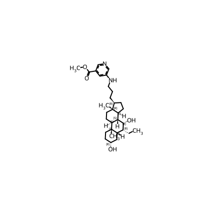 CC[C@H]1[C@@H](O)[C@@H]2[C@H](CC[C@]3(C)[C@@H](CCCNc4cncc(C(=O)OC)c4)CC[C@@H]23)[C@@]2(C)CC[C@@H](O)C[C@@H]12